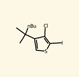 CCCCC(C)(C)c1csc(I)c1Cl